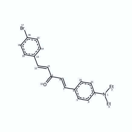 CCN(CC)c1ccc(C=CC(=O)C=Cc2ccc(Br)cc2)cc1